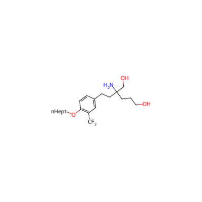 CCCCCCCOc1ccc(CCC(N)(CO)CCCO)cc1C(F)(F)F